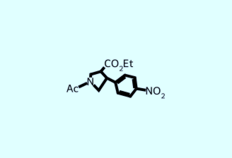 CCOC(=O)C1CN(C(C)=O)CC1c1ccc([N+](=O)[O-])cc1